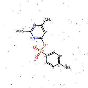 CSc1nc(C)cc(OS(=O)(=O)c2ccc([N+](=O)[O-])cc2)n1